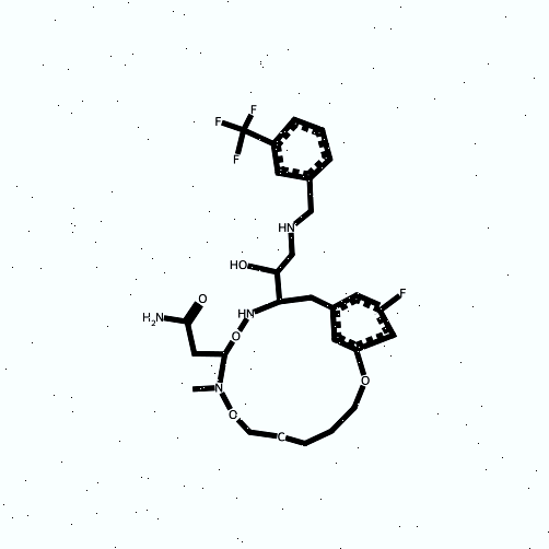 CN1OCCCCCOc2cc(F)cc(c2)CC(C(O)CNCc2cccc(C(F)(F)F)c2)NOC1CC(N)=O